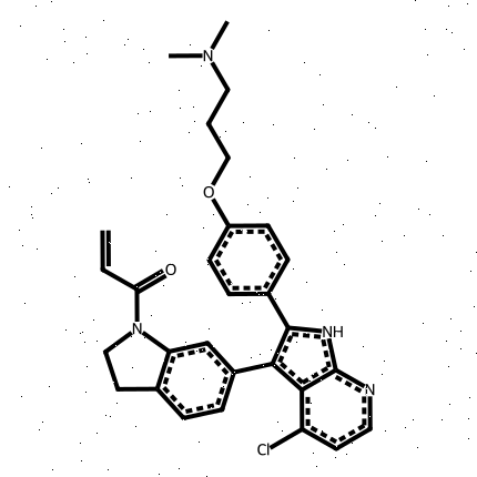 C=CC(=O)N1CCc2ccc(-c3c(-c4ccc(OCCCN(C)C)cc4)[nH]c4nccc(Cl)c34)cc21